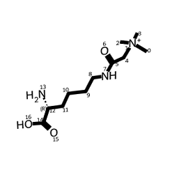 C[N+](C)(C)CC(=O)NCCCC[C@@H](N)C(=O)O